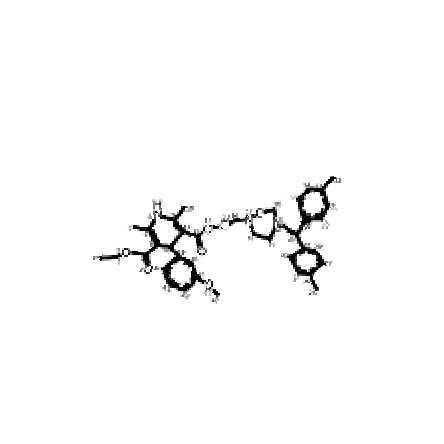 CCOC(=O)C1=C(C)NC(C)=C(C(=O)OCCN2CCN(C(c3ccc(C)cc3)c3ccc(C)cc3)CC2)C1c1cccc(OC)c1